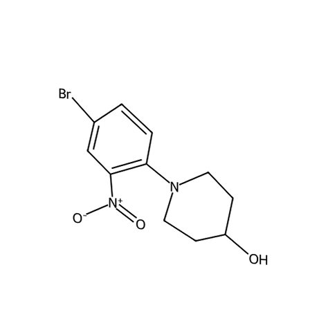 O=[N+]([O-])c1cc(Br)ccc1N1CCC(O)CC1